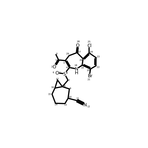 CC(=O)C1=C([S+]([O-])CC23CC(C#N)CCCC2C3)Nc2c(Br)ccc(Cl)c2C(=O)C1